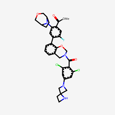 COC(=O)c1cc(F)c(-c2cccc3c2OCN(C(=O)c2c(Cl)cc(N4CC5(CCN5)C4)cc2Cl)C3)cc1N1C2CCC1COC2